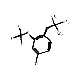 CC(C)(C)Cc1ccc(Cl)cc1OC(F)(F)F